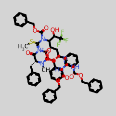 CSC(N(C(=O)OCc1ccccc1)C(CCCN=C(NC(=O)OCc1ccccc1)NC(=O)OCc1ccccc1)C(O)C(F)(F)F)=[N+](C(=O)OCc1ccccc1)C(=O)[C@@H](Cc1ccccc1)N(C)C(=O)OCc1ccccc1